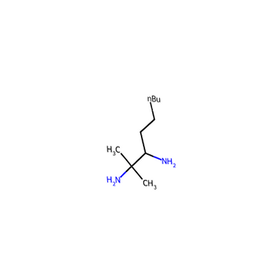 CCCCCCC(N)C(C)(C)N